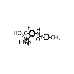 CC1CCN(C(=O)Nc2cc(F)c(C(=O)O)c(-c3nn[nH]n3)c2)CC1